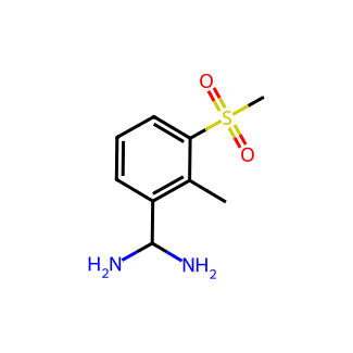 Cc1c(C(N)N)cccc1S(C)(=O)=O